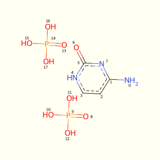 Nc1cc[nH]c(=O)n1.O=P(O)(O)O.O=P(O)(O)O